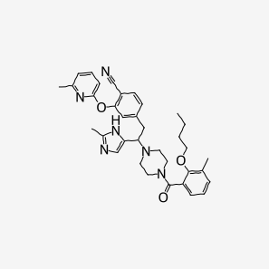 CCCCOc1c(C)cccc1C(=O)N1CCN(C(Cc2ccc(C#N)c(Oc3cccc(C)n3)c2)c2cnc(C)[nH]2)CC1